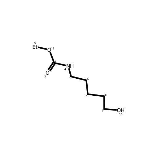 CCOC(=O)NCCCCCO